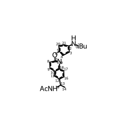 CCC(C)Nc1ccc(Oc2ccc3cc(C(C)NC(C)=O)ccc3n2)cc1